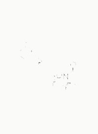 O=C(CCSSc1ccccc1)ON1C(=O)CCC1=O